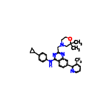 CC1(C)CN(Cc2nc(Nc3ccc(C4CC4)cc3)c3ccc(-c4ncccc4C(F)(F)F)cc3n2)CCO1